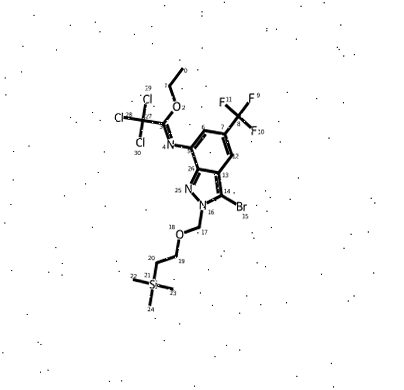 CCOC(=Nc1cc(C(F)(F)F)cc2c(Br)n(COCC[Si](C)(C)C)nc12)C(Cl)(Cl)Cl